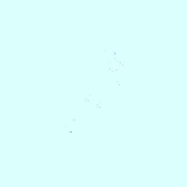 O=C(O)c1ccc2nc(CN3CC(Oc4ccnc(COc5ccc(F)cc5F)n4)C3)n(CC3CCO3)c2c1